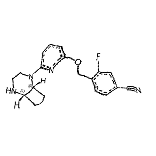 N#Cc1ccc(COc2cccc(N3CCN[C@H]4CC[C@H]43)n2)c(F)c1